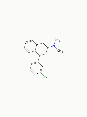 CN(C)C1CC2C=CC=CC2C(c2cccc(Br)c2)C1